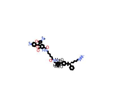 COc1cc(C(C)(C)[C@@H](CCCCCN=[N+]=[N-])c2ccccc2)cc(OC)c1[C@H]1C=C(CNC(=O)CCCCCNC(=O)c2ccc3c(c2)C(=O)OC32c3ccc(N(C)C)cc3Oc3cc(N(C)C)ccc32)[C@H]2C[C@@H]1C2(C)C